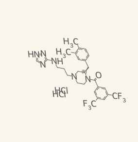 Cc1ccc(C[C@@H]2CN(CCCNc3nc[nH]n3)CCN2C(=O)c2cc(C(F)(F)F)cc(C(F)(F)F)c2)cc1C.Cl.Cl